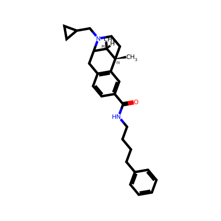 C[C@H]1C2Cc3ccc(C(=O)NCCCCc4ccccc4)cc3[C@@]1(C)CCN2CC1CC1